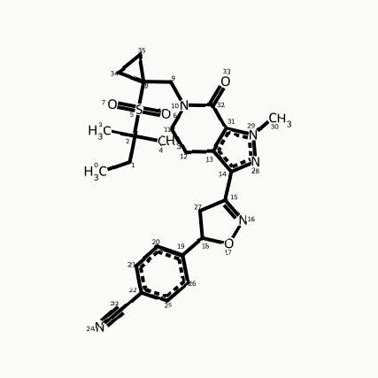 CCC(C)(C)S(=O)(=O)C1(CN2CCc3c(C4=NOC(c5ccc(C#N)cc5)C4)nn(C)c3C2=O)CC1